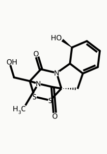 CN1C(=O)[C@@]23CC4=CC=C[C@H](O)C4N2C(=O)C1(CO)SS3